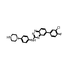 Fc1ccc(-c2ccc3nnc(Nc4ccc(N5CCNCC5)cc4)nc3c2)cc1Cl